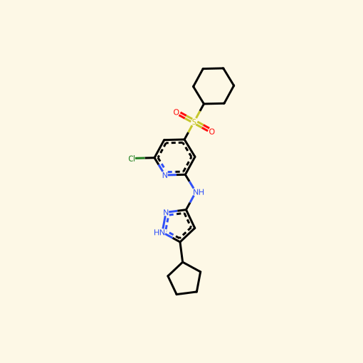 O=S(=O)(c1cc(Cl)nc(Nc2cc(C3CCCC3)[nH]n2)c1)C1CCCCC1